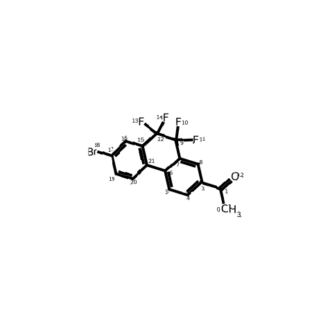 CC(=O)c1ccc2c(c1)C(F)(F)C(F)(F)c1cc(Br)ccc1-2